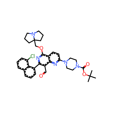 CC(C)(C)OC(=O)N1CCN(c2ccc3c(OCC45CCCN4CCC5)nc(-c4cccc5cccc(Cl)c45)c(C=O)c3n2)CC1